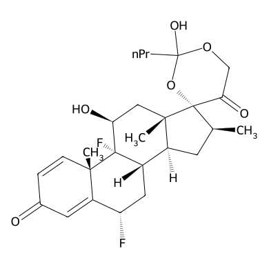 CCCC1(O)OCC(=O)[C@@]2(O1)[C@@H](C)C[C@H]1[C@@H]3C[C@H](F)C4=CC(=O)C=C[C@]4(C)[C@@]3(F)[C@@H](O)C[C@@]12C